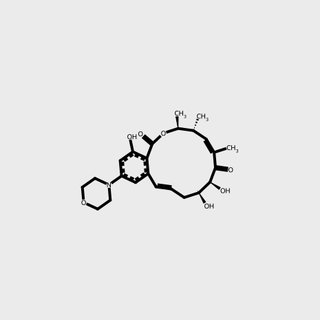 C/C1=C/[C@@H](C)[C@H](C)OC(=O)c2c(O)cc(N3CCOCC3)cc2/C=C/C[C@H](O)[C@H](O)C1=O